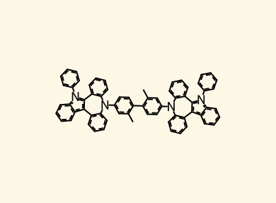 Cc1cc(N2c3ccccc3-c3c(n(-c4ccccc4)c4ccccc34)-c3ccccc32)ccc1-c1ccc(N2c3ccccc3-c3c(n(-c4ccccc4)c4ccccc34)-c3ccccc32)cc1C